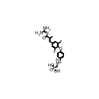 C/C(=C\c1cc(F)c(Oc2ccc(SNCP(=O)(O)O)cc2)c(F)c1)C(=O)N=C(N)N